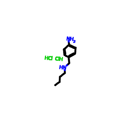 CCCCNCc1ccc(N)cc1.Cl.Cl